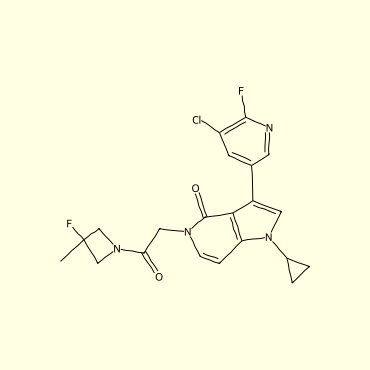 CC1(F)CN(C(=O)Cn2ccc3c(c(-c4cnc(F)c(Cl)c4)cn3C3CC3)c2=O)C1